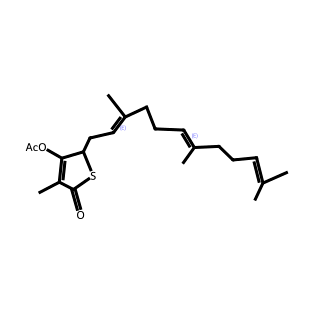 CC(=O)OC1=C(C)C(=O)SC1C/C=C(\C)CC/C=C(\C)CCC=C(C)C